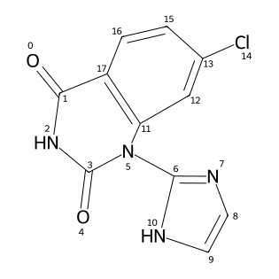 O=c1[nH]c(=O)n(-c2ncc[nH]2)c2cc(Cl)ccc12